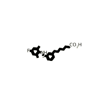 Cc1cc(F)cc(C)c1NSc1cccc(CCCCCCC(=O)O)c1